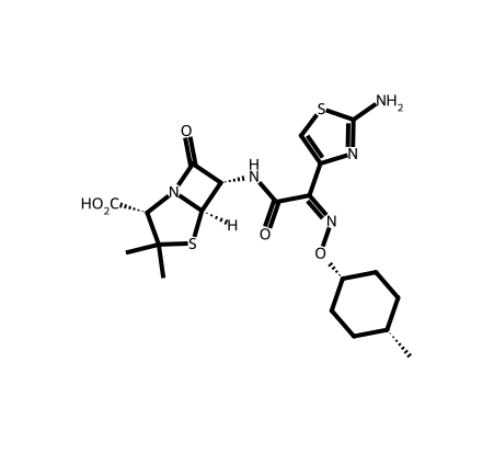 CC1(C)S[C@@H]2[C@@H](NC(=O)/C(=N\O[C@H]3CC[C@@H](C)CC3)c3csc(N)n3)C(=O)N2[C@H]1C(=O)O